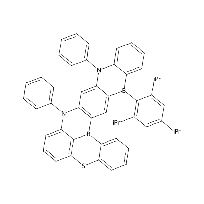 CC(C)c1cc(C(C)C)c(B2c3ccccc3N(c3ccccc3)c3cc4c(cc32)B2c3ccccc3Sc3cccc(c32)N4c2ccccc2)c(C(C)C)c1